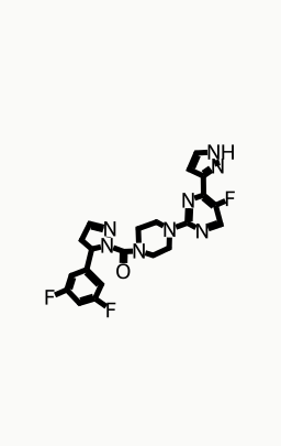 O=C(N1CCN(c2ncc(F)c(-c3cc[nH]n3)n2)CC1)N1N=CCC1c1cc(F)cc(F)c1